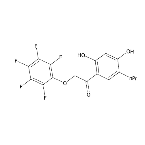 CCCc1cc(C(=O)COc2c(F)c(F)c(F)c(F)c2F)c(O)cc1O